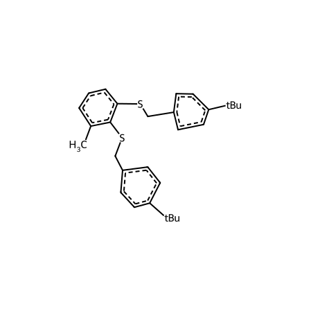 Cc1cccc(SCc2ccc(C(C)(C)C)cc2)c1SCc1ccc(C(C)(C)C)cc1